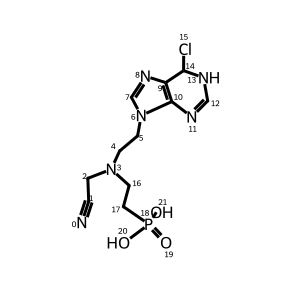 N#CCN(CCn1cnc2c1N=CNC2Cl)CCP(=O)(O)O